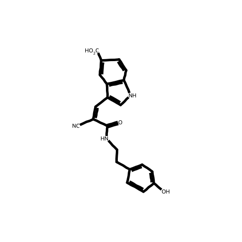 N#CC(=Cc1c[nH]c2ccc(C(=O)O)cc12)C(=O)NCCc1ccc(O)cc1